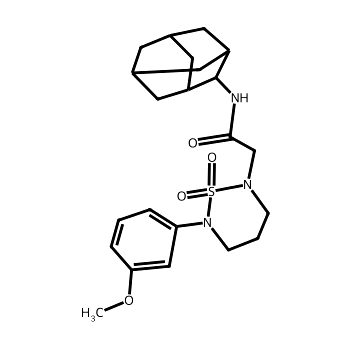 COc1cccc(N2CCCN(CC(=O)NC3C4CC5CC(C4)CC3C5)S2(=O)=O)c1